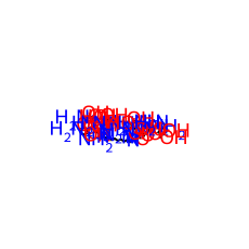 CC1[C@@H](OC2C(N)C[C@@H](N)C(N)[C@H]2O[C@@H]2O[C@H](Cn3cc(CCCCCc4cn(C[C@H]5O[C@@H](O[C@H]6C(O[C@H]7OC(CN)C(O)[C@H](O)C7N)C(N)C[C@@H](N)C6O)C(O)[C@H]5O[C@H]5O[C@@H](CN)C(O)C(O)C5N)nn4)nn3)[C@H](O[C@H]3O[C@@H](N)C(O)C(O)C3N)C2O)OC(CN)C(O)[C@@H]1O